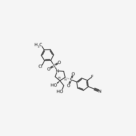 Cc1ccc(S(=O)(=O)N2C[C@H](S(=O)(=O)c3ccc(C#N)c(F)c3)[C@](O)(CO)C2)c(Cl)c1